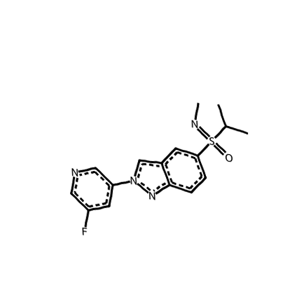 CN=S(=O)(c1ccc2nn(-c3cncc(F)c3)cc2c1)C(C)C